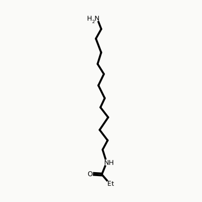 CCC(=O)NCCCCCCCCCCCCN